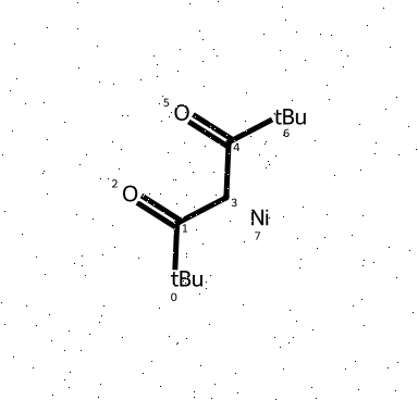 CC(C)(C)C(=O)CC(=O)C(C)(C)C.[Ni]